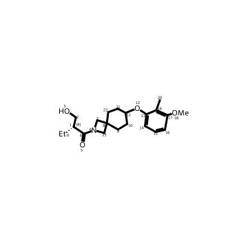 CC[C@H](CO)C(=O)N1CC2(CCC(Oc3cccc(OC)c3C)CC2)C1